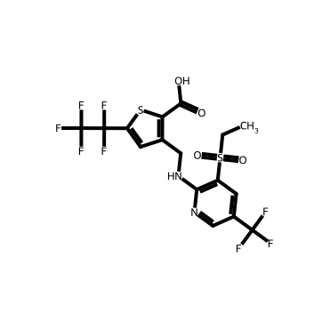 CCS(=O)(=O)c1cc(C(F)(F)F)cnc1NCc1cc(C(F)(F)C(F)(F)F)sc1C(=O)O